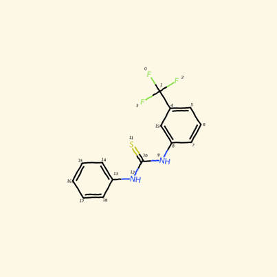 FC(F)(F)c1cccc(NC(=S)Nc2cc[c]cc2)c1